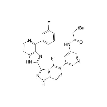 CC(C)(C)CC(=O)Nc1cncc(-c2ccc3[nH]nc(-c4nc5c(-c6cccc(F)c6)nccc5[nH]4)c3c2F)c1